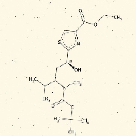 CCOC(=O)c1csc([C@@H](O)CC(C(C)C)N(C)C(=O)OC(C)(C)C)n1